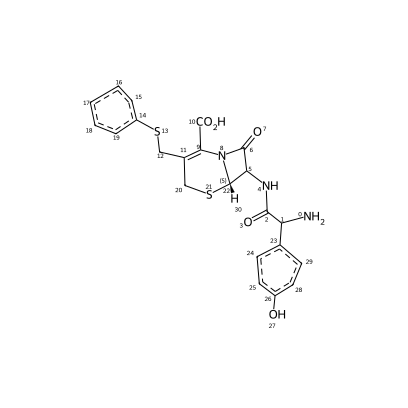 NC(C(=O)NC1C(=O)N2C(C(=O)O)=C(CSc3ccccc3)CS[C@@H]12)c1ccc(O)cc1